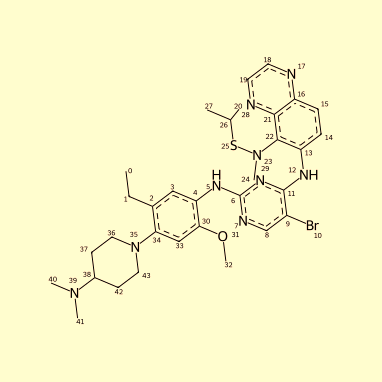 CCc1cc(Nc2ncc(Br)c(Nc3ccc4nccnc4c3N(C)SC(C)C)n2)c(OC)cc1N1CCC(N(C)C)CC1